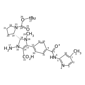 Cc1ccnc(NC(=O)c2ccc(C3=C(C(=O)O)N(N)C([C@@H]4CCCN4C(=O)OC(C)(C)C)N3C)cc2)c1